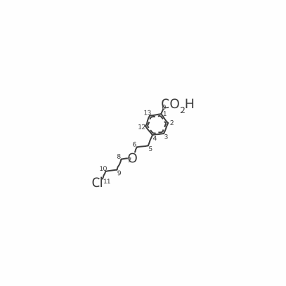 O=C(O)c1ccc(CCOCCCCl)cc1